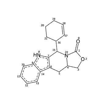 O=C1OCC2Cc3c([nH]c4ccccc34)C(C3C=CCCC3)N12